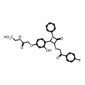 O=C(O)CNC(=O)COc1ccc(C2C(SCC(=O)c3ccc(F)cc3)C(=O)N2c2ccccc2)c(O)c1